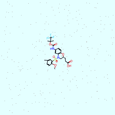 COc1ccc(C)cc1S(=O)(=O)N1C[C@H](CCC(=O)O)Oc2ccc(NC(=O)OC(C)(C)C(F)(F)F)cc21